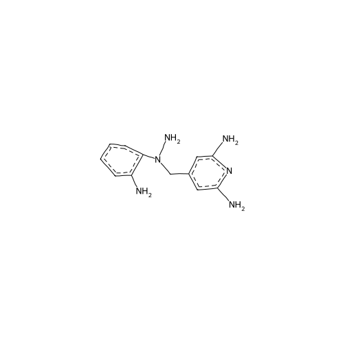 Nc1cc(CN(N)c2ccccc2N)cc(N)n1